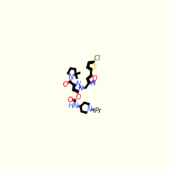 CC(C)N1CCC(NC(=O)Oc2cc(C(=O)N3CCCC3(C)C)nn2Cc2cc(-c3ccc(Cl)s3)on2)CC1